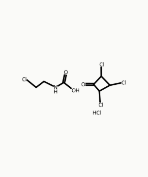 Cl.O=C(O)NCCCl.O=C1C(Cl)C(Cl)C1Cl